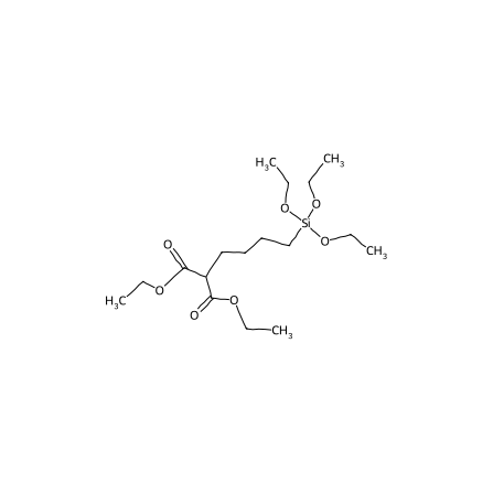 CCOC(=O)C(CCCC[Si](OCC)(OCC)OCC)C(=O)OCC